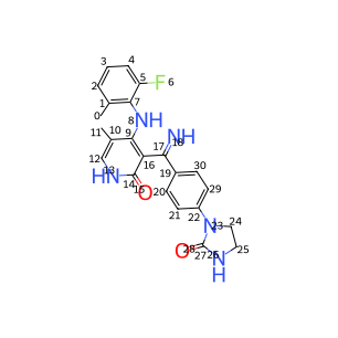 Cc1cccc(F)c1Nc1c(C)c[nH]c(=O)c1C(=N)c1ccc(N2CCNC2=O)cc1